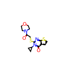 O=C(CSc1nc2sccc2c(=O)n1C1CC1)N1CCOCC1